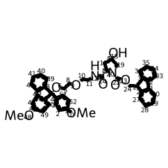 COc1ccc(C(OCCOCCNC(=O)[C@@H]2C[C@@H](O)CN2C(=O)OCC2c3ccccc3-c3ccccc32)(c2ccccc2)c2ccc(OC)cc2)cc1